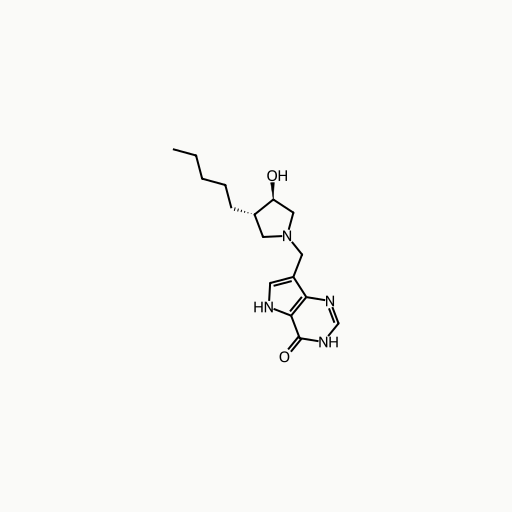 CCCCC[C@H]1CN(Cc2c[nH]c3c(=O)[nH]cnc23)C[C@@H]1O